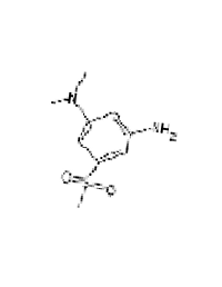 CN(C)c1cc(N)cc(S(C)(=O)=O)c1